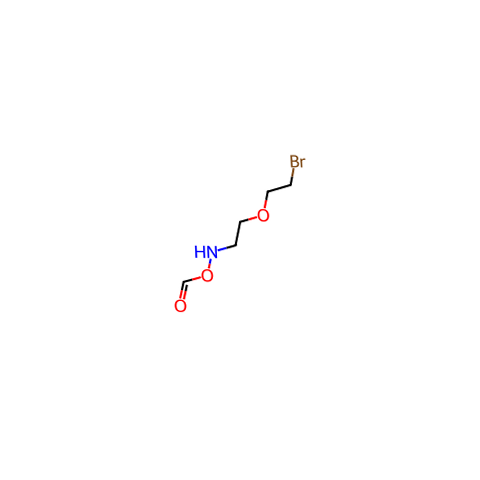 O=CONCCOCCBr